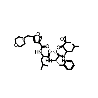 CC(C)CC(NC(=O)c1cc(CN2CCOCC2)on1)C(=O)N[C@@H](Cc1ccccc1)C(=O)NC(CC(C)C)C(=O)[C@@]1(C)CO1